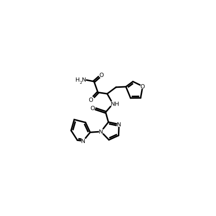 NC(=O)C(=O)C(Cc1ccoc1)NC(=O)c1nccn1-c1ccccn1